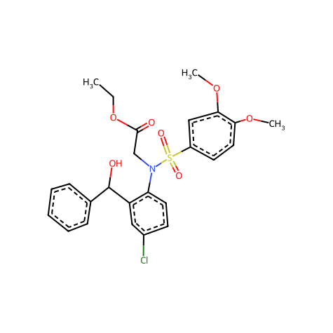 CCOC(=O)CN(c1ccc(Cl)cc1C(O)c1ccccc1)S(=O)(=O)c1ccc(OC)c(OC)c1